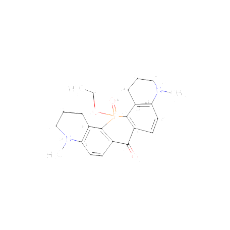 CCOP1(=O)c2c(ccc3c2CCCN3C)C(=O)c2ccc3c(c21)CCCN3C